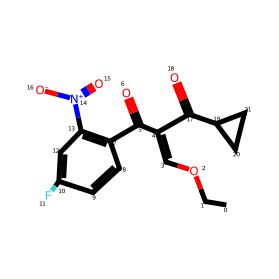 CCOC=C(C(=O)c1ccc(F)cc1[N+](=O)[O-])C(=O)C1CC1